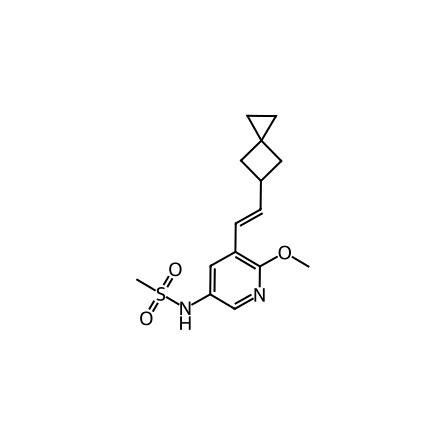 COc1ncc(NS(C)(=O)=O)cc1C=CC1CC2(CC2)C1